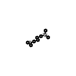 c1ccc(-c2nc(-c3ccccc3)nc(-c3ccc(-c4cccc5c(-c6ccc(-c7nc8ccccc8c8ccccc78)cc6)cccc45)cc3)n2)cc1